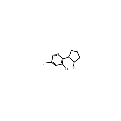 CCC1CCCN1c1ncc(C(F)(F)F)cc1Cl